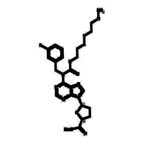 CNC(=O)[C@@H]1CC[C@H](n2cnc3c(N(Cc4cccc(F)c4)C(=O)OCCSSCCO[N+](=O)[O-])ncnc32)O1